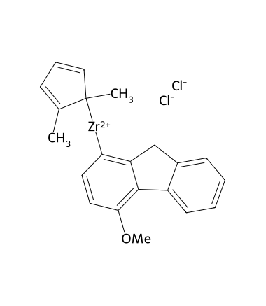 COc1cc[c]([Zr+2][C]2(C)C=CC=C2C)c2c1-c1ccccc1C2.[Cl-].[Cl-]